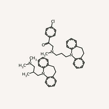 CC(CN(C)C)CN1c2ccccc2CCc2ccccc21.CN(CCCN1c2ccccc2CCc2ccccc21)CC(=O)c1ccc(Cl)cc1